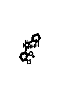 COc1c(Cl)cccc1-c1nnc(C2CCCN2)[nH]1